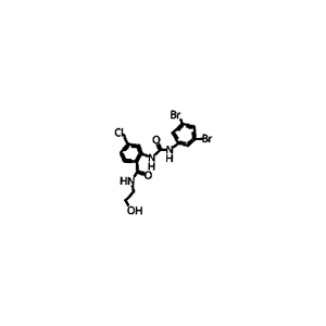 O=C(Nc1cc(Br)cc(Br)c1)Nc1cc(Cl)ccc1C(=O)NCCO